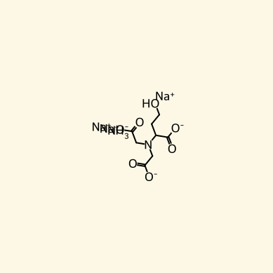 N.O=C([O-])CN(CC(=O)[O-])C(CCO)C(=O)[O-].[Na+].[Na+].[Na+]